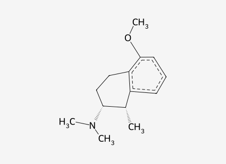 COc1cccc2c1CC[C@@H](N(C)C)[C@H]2C